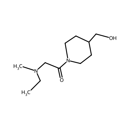 CCN(C)CC(=O)N1CCC(CO)CC1